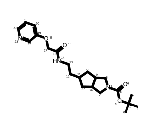 CC(C)(C)OC(=O)N1CC2CC(CCNC(=O)COc3cccnc3)CC2C1